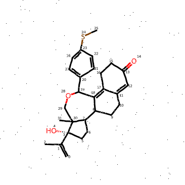 C=C(C)[C@]1(O)CCC2C3CCC4=CC(=O)CCC4=C3C(c3ccc(SC)cc3)OCC21C